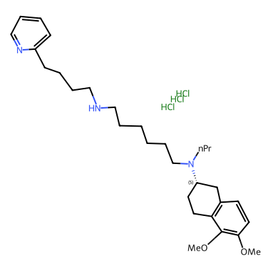 CCCN(CCCCCCNCCCCc1ccccn1)[C@H]1CCc2c(ccc(OC)c2OC)C1.Cl.Cl.Cl